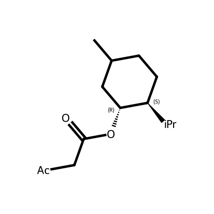 CC(=O)CC(=O)O[C@@H]1CC(C)CC[C@H]1C(C)C